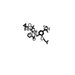 Cc1ncsc1-c1ccc(CNC(=O)C2CCCN2C(=O)C(NC(=O)C2(F)CC2)C(C)(C)C)c(OCCC(C)C)c1